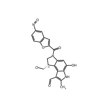 Cc1[nH]c2c(O)cc3c(c2c1C=O)[C@H](CCl)CN3C(=O)c1cc2cc(N=O)ccc2o1